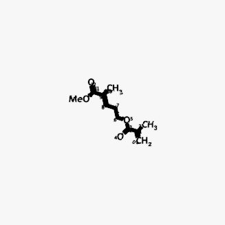 C=C(C)C(=O)OCCC=C(C)C(=O)OC